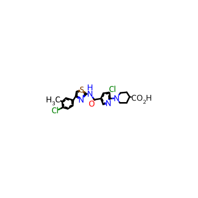 Cc1cc(-c2csc(NC(=O)c3cnc(N4CCC(C(=O)O)CC4)c(Cl)c3)n2)ccc1Cl